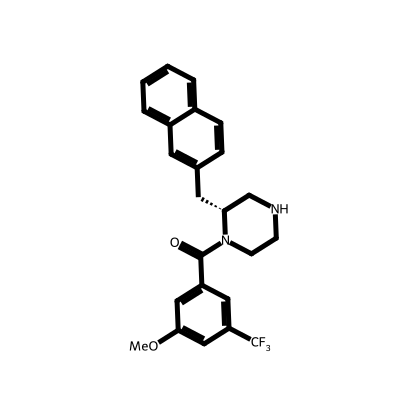 COc1cc(C(=O)N2CCNC[C@H]2Cc2ccc3ccccc3c2)cc(C(F)(F)F)c1